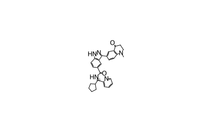 CN1CCC(=O)c2cc(-c3n[nH]c4ccc(C(=O)N[C@H](c5ccccn5)C5CCCC5)cc34)ccc21